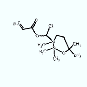 C=CC(=O)OC(CC)[Si]1(C)CCC(C)(C)O[Si]1(C)C